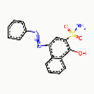 NS(=O)(=O)c1cc(/N=N/c2ccccc2)c2ccccc2c1O